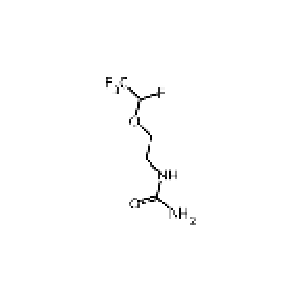 NC(=O)NCCOC(F)C(F)(F)F